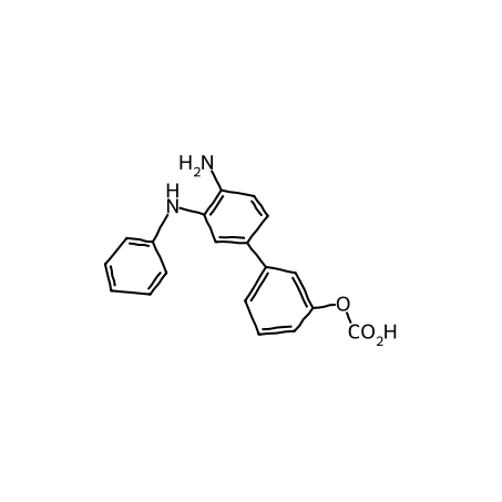 Nc1ccc(-c2cccc(OC(=O)O)c2)cc1Nc1ccccc1